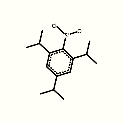 CC(C)c1cc(C(C)C)c([S+]([O-])Cl)c(C(C)C)c1